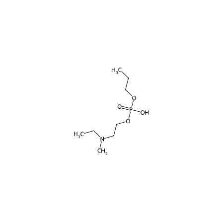 CCCOP(=O)(O)OCCN(C)CC